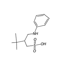 CC(C)(C)C(CNc1ccccc1)CS(=O)(=O)O